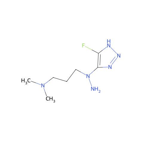 CN(C)CCCN(N)c1nn[nH]c1F